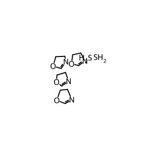 C1=NCCO1.C1=NCCO1.C1=NCCO1.C1=NCCO1.S.S